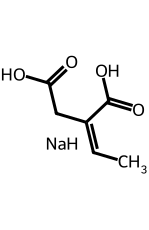 CC=C(CC(=O)O)C(=O)O.[NaH]